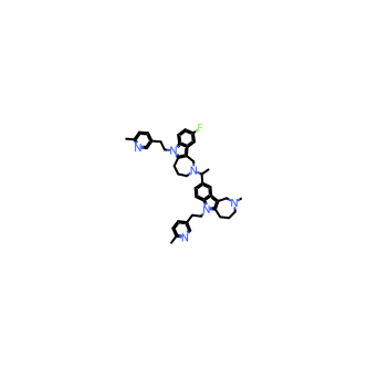 Cc1ccc(CCn2c3c(c4cc(C(C)N5CCCc6c(c7cc(F)ccc7n6CCc6ccc(C)nc6)C5)ccc42)CN(C)CCC3)cn1